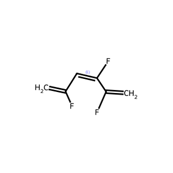 C=C(F)/C=C(/F)C(=C)F